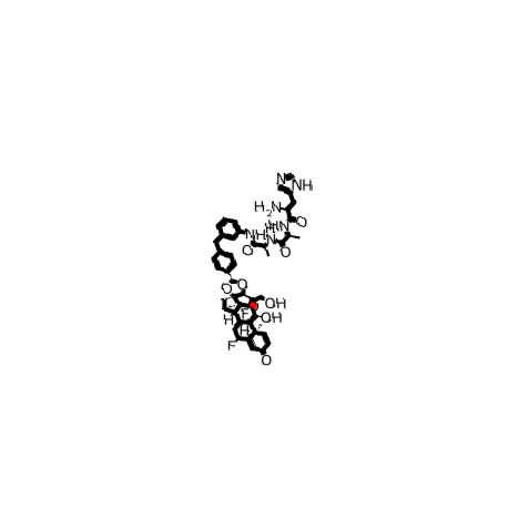 C[C@H](NC(=O)[C@H](C)NC(=O)[C@@H](N)Cc1cnc[nH]1)C(=O)Nc1cccc(Cc2ccc([C@@H]3O[C@@H](C(=O)CO)[C@]4(CC[C@H]5[C@@H]6C[C@H](F)C7=CC(=O)C=C[C@]7(C)[C@@]6(F)[C@@H](O)C[C@@]54C)O3)cc2)c1